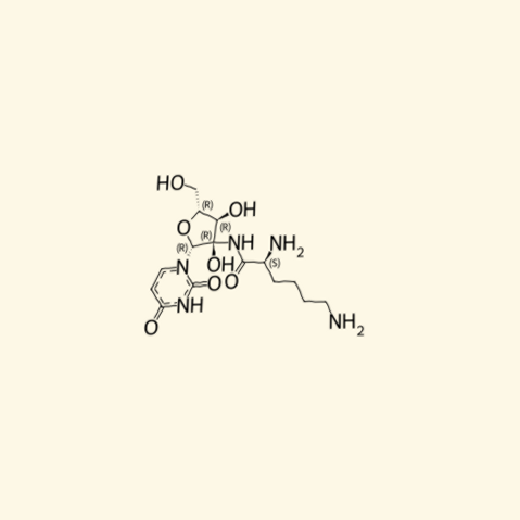 NCCCC[C@H](N)C(=O)N[C@@]1(O)[C@H](O)[C@@H](CO)O[C@H]1n1ccc(=O)[nH]c1=O